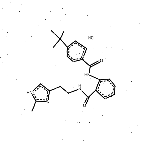 Cc1nc(CCNC(=O)c2ccccc2NC(=O)c2ccc(C(C)(C)C)cc2)c[nH]1.Cl